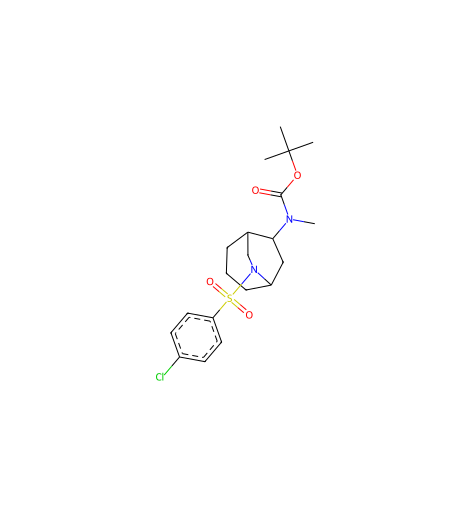 CN(C(=O)OC(C)(C)C)C1CC2CCCC1CN2S(=O)(=O)c1ccc(Cl)cc1